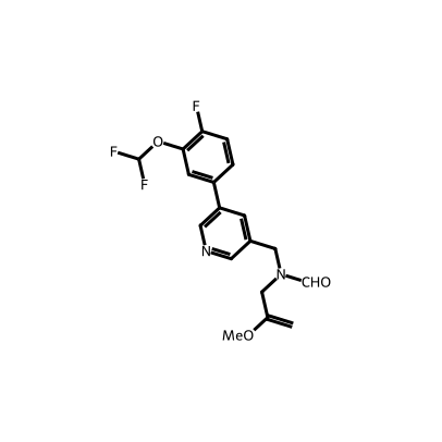 C=C(CN(C=O)Cc1cncc(-c2ccc(F)c(OC(F)F)c2)c1)OC